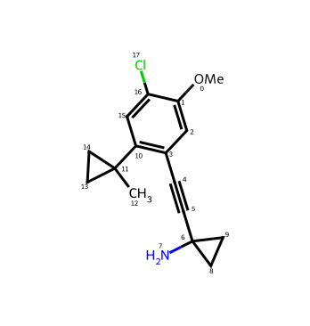 COc1cc(C#CC2(N)CC2)c(C2(C)CC2)cc1Cl